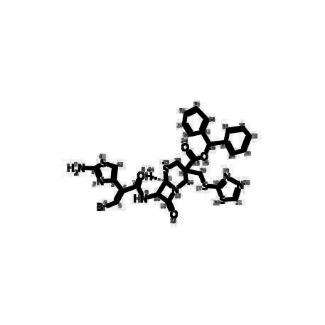 Nc1nc(C(=CBr)C(=O)NC2C(=O)N3CC(CSc4nncs4)(C(=O)OC(c4ccccc4)c4ccccc4)CS[C@H]23)cs1